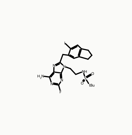 CC(C)(C)S(=O)(=O)NCCn1c(Cc2cc3c(cc2I)CCC3)nc2c(N)nc(F)nc21